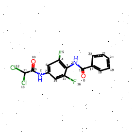 O=C(Nc1c(F)cc(NC(=O)C(Cl)Cl)cc1F)c1ccccc1